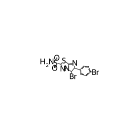 NS(=O)(=O)C1=NN2C(=NC(c3ccc(Br)cc3)C2Br)S1